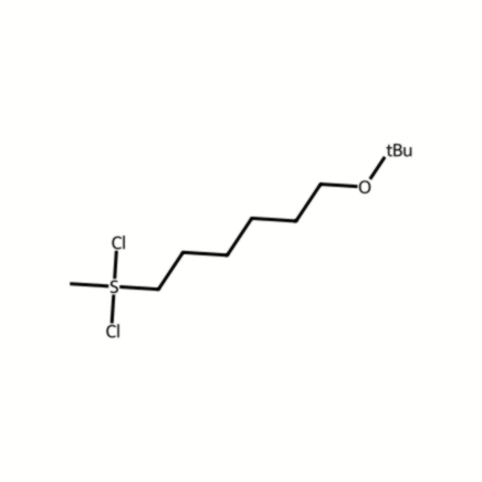 CC(C)(C)OCCCCCCS(C)(Cl)Cl